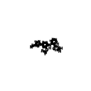 [2H]C([2H])([2H])NC(=O)c1nnccc1Nc1ccc(-n2cc(C#N)cn2)cc1OC(F)F